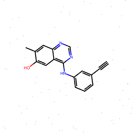 C#Cc1cccc(Nc2ncnc3cc(C)c(O)cc23)c1